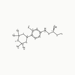 [2H]C1([2H])CN(c2ccc(NC[C@@H](O)CC)cc2F)CC([2H])([2H])O1